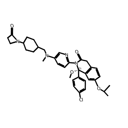 CO[C@@]1(c2ccc(Cl)cc2)c2cc(OC(C)C)ccc2CC(=O)N1c1ccc(N(C)CC2CCC(N3CCC3=O)CC2)cn1